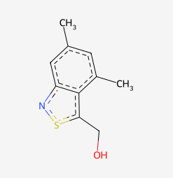 Cc1cc(C)c2c(CO)snc2c1